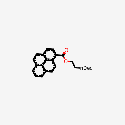 CCCCCCCCCCCCOC(=O)c1ccc2ccc3cccc4ccc1c2c34